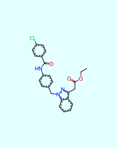 CCOC(=O)Cc1nn(Cc2ccc(NC(=O)c3ccc(Cl)cc3)cc2)c2ccccc12